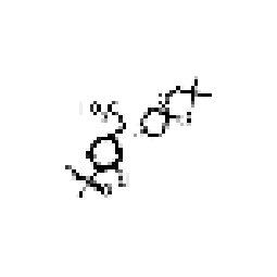 CC1(C)COC2(CC[C@H](C(C(=O)O)c3ccc(S(C)(=O)=O)c(Cl)c3)C2)OC1